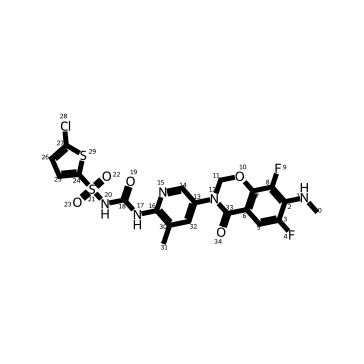 CNc1c(F)cc2c(c1F)OCN(c1cnc(NC(=O)NS(=O)(=O)c3ccc(Cl)s3)c(C)c1)C2=O